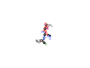 COC1(COc2ccc(S(=O)(=O)NC(=O)c3ccc(N4CCN(CC5=C(c6ccc(Cl)cc6)CC(C)(C)CC5)CC4)cc3Oc3cnc4[nH]ccc4c3)cc2[N+](=O)[O-])CCOCC1